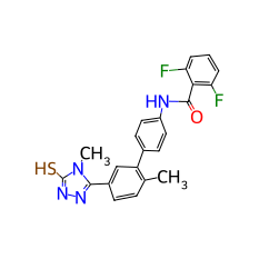 Cc1ccc(-c2nnc(S)n2C)cc1-c1ccc(NC(=O)c2c(F)cccc2F)cc1